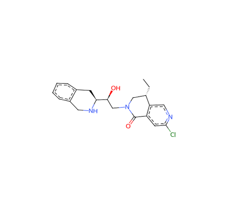 CC[C@H]1CN(C[C@H](O)[C@@H]2Cc3ccccc3CN2)C(=O)c2cc(Cl)ncc21